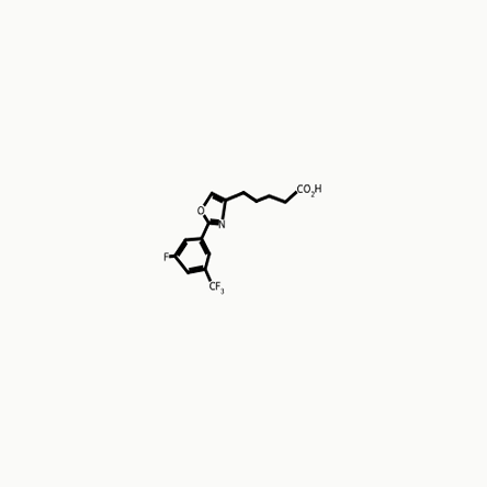 O=C(O)CCCCc1coc(-c2cc(F)cc(C(F)(F)F)c2)n1